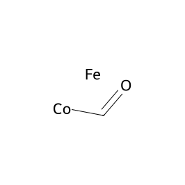 O=[CH][Co].[Fe]